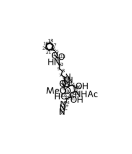 COC(=O)C1(n2cc(CCCCNC(=O)OCc3ccccc3)nn2)CC(O)C(NC(C)=O)C([C@@H](O)[C@H](O)CN=[N+]=[N-])O1